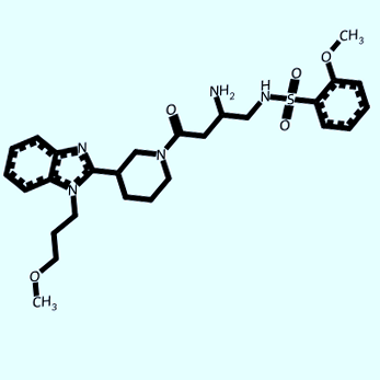 COCCCn1c(C2CCCN(C(=O)CC(N)CNS(=O)(=O)c3ccccc3OC)C2)nc2ccccc21